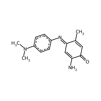 CC1=CC(=O)C(N)=CC1=Nc1ccc(N(C)C)cc1